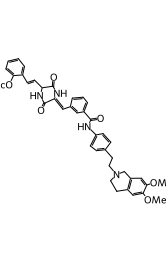 COc1cc2c(cc1OC)CN(CCc1ccc(NC(=O)c3cccc(C=C4NC(=O)C(C=Cc5ccccc5OC(C)=O)NC4=O)c3)cc1)CC2